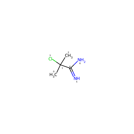 CC(C)(Cl)C(=N)N